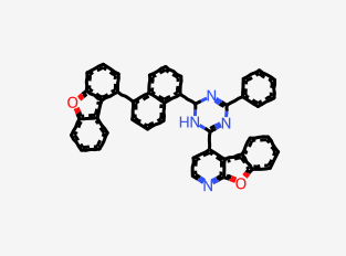 c1ccc(C2=NC(c3cccc4c(-c5cccc6oc7ccccc7c56)cccc34)NC(c3ccnc4oc5ccccc5c34)=N2)cc1